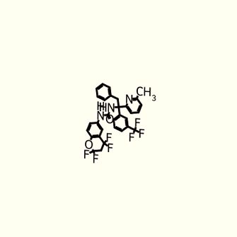 Cc1cccc(C(Cc2ccccc2)(NC(=O)Nc2ccc3c(c2)C(F)(F)CC(F)(F)O3)c2cccc(C(F)(F)F)c2)n1